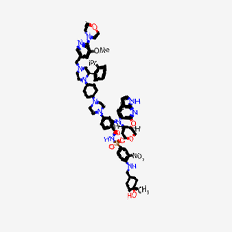 COc1cc(CN2CCN(C3CCC(N4CCN(c5ccc(C(=O)NS(=O)(=O)c6ccc(NCC7CCC(C)(O)CC7)c([N+](=O)[O-])c6)c(N6c7cc8cc[nH]c8nc7O[C@H]7COCC[C@@H]76)c5)CC4)CC3)[C@H](c3ccccc3C(C)C)C2)cnc1N1CCOCC1